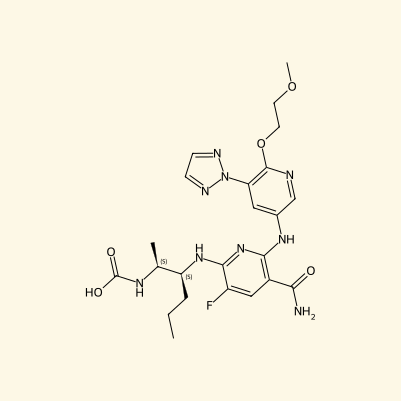 CCC[C@H](Nc1nc(Nc2cnc(OCCOC)c(-n3nccn3)c2)c(C(N)=O)cc1F)[C@H](C)NC(=O)O